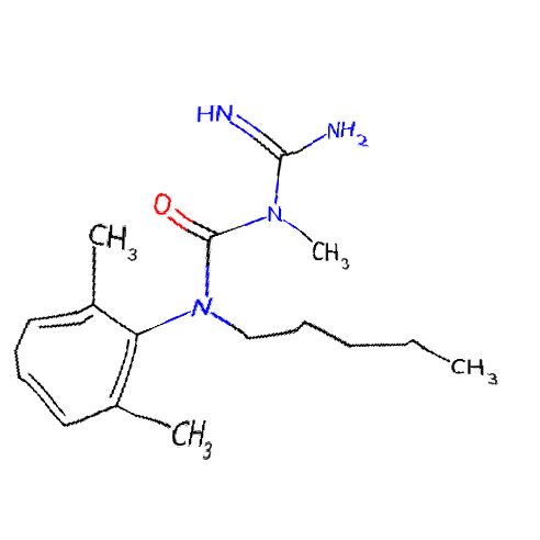 CCCCCN(C(=O)N(C)C(=N)N)c1c(C)cccc1C